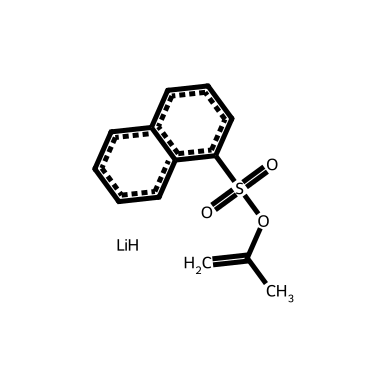 C=C(C)OS(=O)(=O)c1cccc2ccccc12.[LiH]